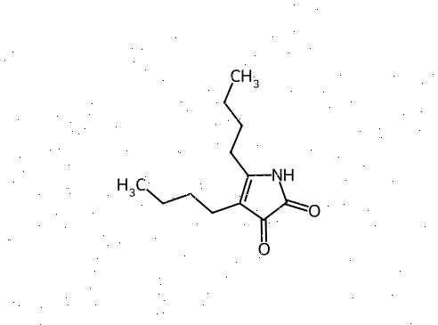 CCCCC1=C(CCCC)C(=O)C(=O)N1